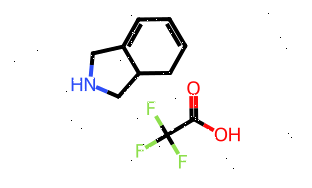 C1=CCC2CNCC2=C1.O=C(O)C(F)(F)F